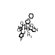 CC(NC(=O)[C@@H]1CN(C2CCCCC2)CC[C@H]1NC(=O)c1cc(-c2ccc(F)cc2F)on1)c1ccncn1